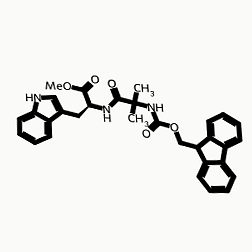 COC(=O)[C@H](Cc1c[nH]c2ccccc12)NC(=O)C(C)(C)NC(=O)OCC1c2ccccc2-c2ccccc21